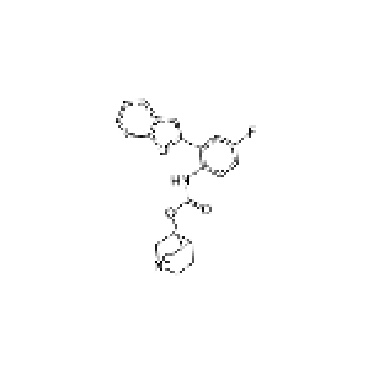 O=C(Nc1ccc(F)cc1-c1cc2ccccc2o1)OC1CN2CCC1CC2